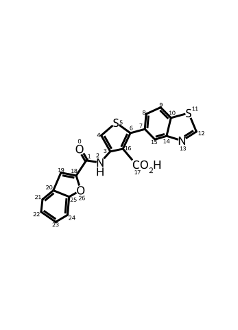 O=C(Nc1csc(-c2ccc3scnc3c2)c1C(=O)O)c1cc2ccccc2o1